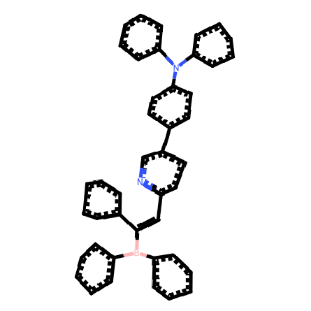 C(=C(B(c1ccccc1)c1ccccc1)c1ccccc1)c1ccc(-c2ccc(N(c3ccccc3)c3ccccc3)cc2)cn1